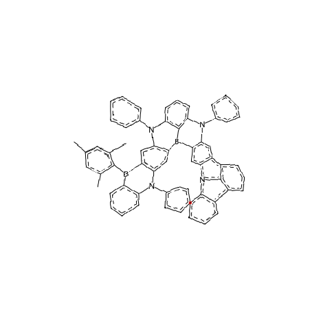 Cc1cc(C)c(B2c3ccccc3N(c3ccccc3)c3cc4c(cc32)N(c2ccccc2)c2cccc3c2B4c2cc4c(cc2N3c2ccccc2)c2cccc3c5ccccc5n4c32)c(C)c1